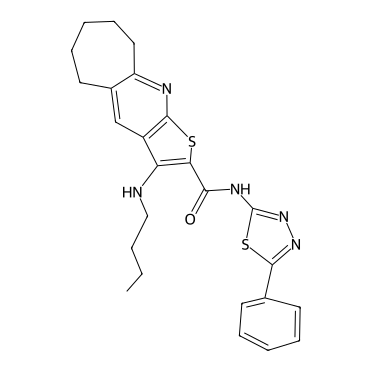 CCCCNc1c(C(=O)Nc2nnc(-c3ccccc3)s2)sc2nc3c(cc12)CCCCC3